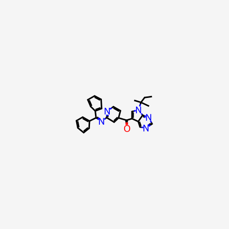 CCC(C)(C)n1cc(C(=O)c2ccnc(N=C(c3ccccc3)c3ccccc3)c2)c2cncnc21